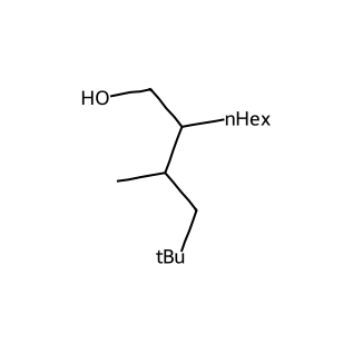 CCCCCCC(CO)C(C)CC(C)(C)C